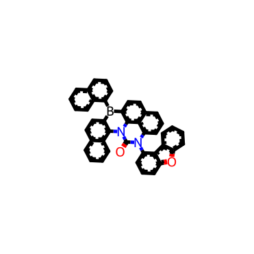 O=C1N2c3c(ccc4ccccc34)B(c3cccc4ccccc34)c3ccc4cccc(c4c32)N1c1cccc2oc3ccccc3c12